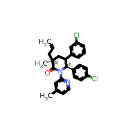 C=CC[C@@]1(C)CC(c2cccc(Cl)c2)[C@@H](c2ccc(Cl)cc2)N(c2cc(C)ccn2)C1=O